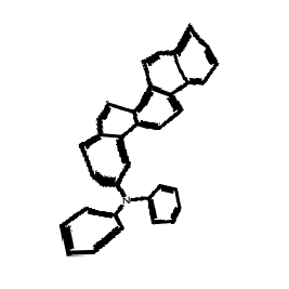 c1ccc(N(c2ccccc2)c2ccc3ccc4c(ccc5c6ccccc6ccc54)c3c2)cc1